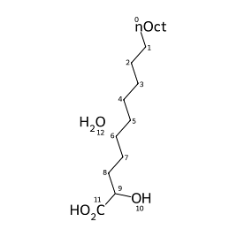 CCCCCCCCCCCCCCCCC(O)C(=O)O.O